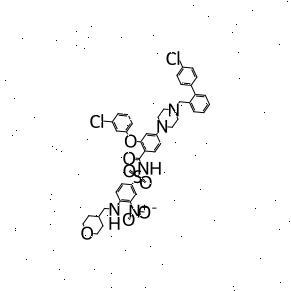 O=C(NS(=O)(=O)c1ccc(NCC2CCOCC2)c([N+](=O)[O-])c1)c1ccc(N2CCN(Cc3ccccc3-c3ccc(Cl)cc3)CC2)cc1Oc1cccc(Cl)c1